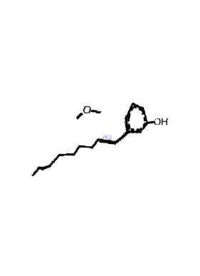 CCCCCCC/C=C/c1cccc(O)c1.COC